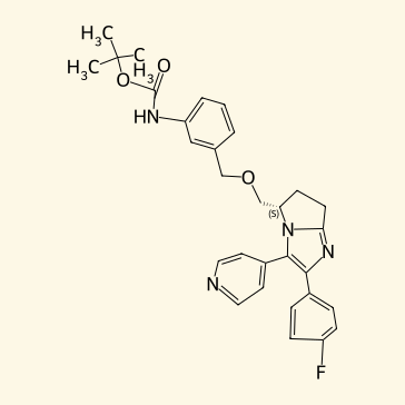 CC(C)(C)OC(=O)Nc1cccc(COC[C@@H]2CCc3nc(-c4ccc(F)cc4)c(-c4ccncc4)n32)c1